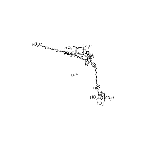 O=C(O)CCOCCOCCOCCOCCOCCOCCOCCOCCNc1nc(Nc2ccc(CC3CN(CC(=O)O)CCN(CC(=O)O)CCN(CC(=O)O)CCN3CC(=O)O)cc2)nc(N2CCN(CCCCCCCCCCC(=O)NCCCC[C@H](NC(=O)N[C@@H](CCC(=O)O)C(=O)O)C(=O)O)CC2)n1.[Lu+3]